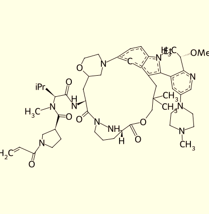 C=CC(=O)N1CC[C@H](C(=O)N(C)[C@H](C(=O)N[C@H]2CC3CN(CCO3)c3ccc4c(c3)c(c(-c3cc(N5CCN(C)CC5)cnc3[C@H](C)OC)n4CC)CC(C)(C)COC(=O)[C@@H]3CCCN(N3)C2=O)C(C)C)C1